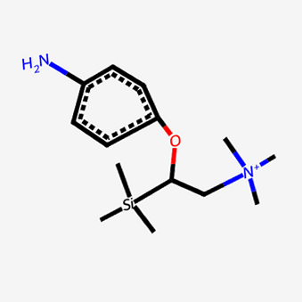 C[N+](C)(C)CC(Oc1ccc(N)cc1)[Si](C)(C)C